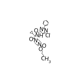 CCCCOC(=O)N1CCN(C(=O)C(NC(=O)c2cc(Cl)nc(-c3ccccc3)n2)C2CC2)CC1